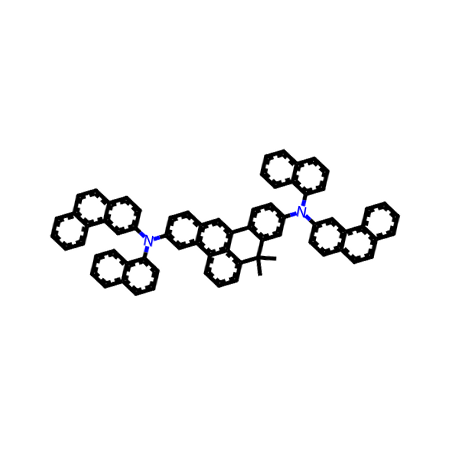 CC1(C)c2cc(N(c3ccc4ccc5ccccc5c4c3)c3cccc4ccccc34)ccc2-c2cc3ccc(N(c4ccc5ccc6ccccc6c5c4)c4cccc5ccccc45)cc3c3cccc1c23